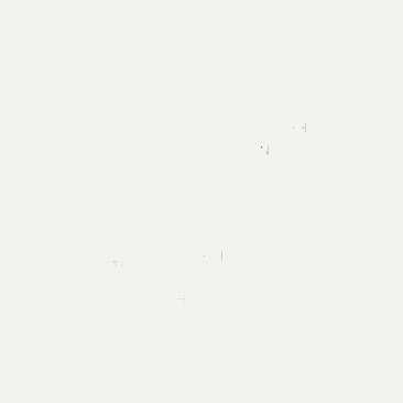 CCCCCC(C)(C)c1ccc(O)c(C=NO)c1